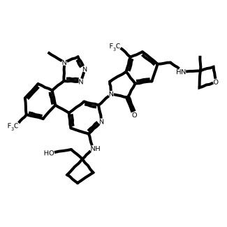 Cn1cnnc1-c1ccc(C(F)(F)F)cc1-c1cc(NC2(CO)CCC2)nc(N2Cc3c(cc(CNC4(C)COC4)cc3C(F)(F)F)C2=O)c1